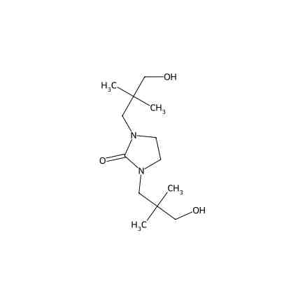 CC(C)(CO)CN1CCN(CC(C)(C)CO)C1=O